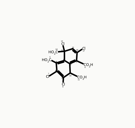 O=C(O)C1=C2C(=C(C(=O)O)C(Cl)=C(Cl)C2C(=O)O)C(Cl)(C(=O)O)C=C1Cl